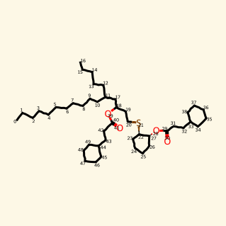 CCCCCCCCCCCC(CCCCC)CC(CCS[C@@H]1CCCC[C@H]1OC(=O)CCC1CCCCC1)OC(=O)CCC1CCCCC1